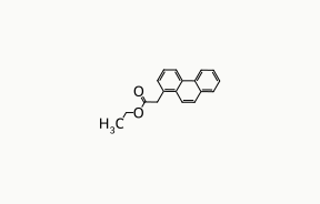 CCOC(=O)Cc1cccc2c1ccc1ccccc12